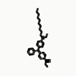 CCCCCCCCCCN(CC)c1ccc(C(=C2C=CC(NCC)C=C2)c2ccccc2)cc1